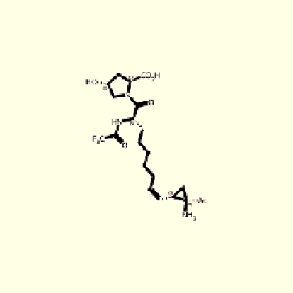 CC(=O)[C@@]1(N)C[C@H]1/C=C\CCCCC[C@H](NC(=O)C(F)(F)F)C(=O)N1C[C@H](O)C[C@H]1C(=O)O